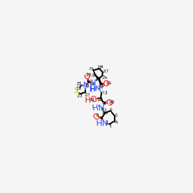 O=C1NCCCC[C@@H]1NC(=O)[C@@H](O)CNC(=O)C1(NC(=O)N2CCSC2)CCCCC1